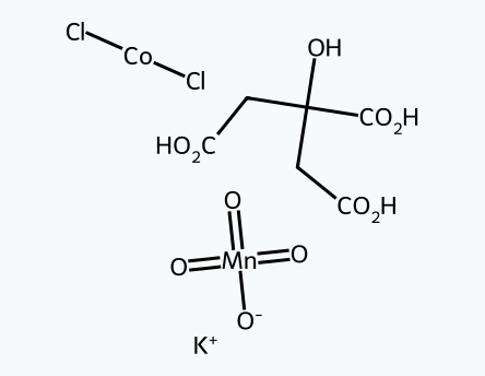 O=C(O)CC(O)(CC(=O)O)C(=O)O.[Cl][Co][Cl].[K+].[O]=[Mn](=[O])(=[O])[O-]